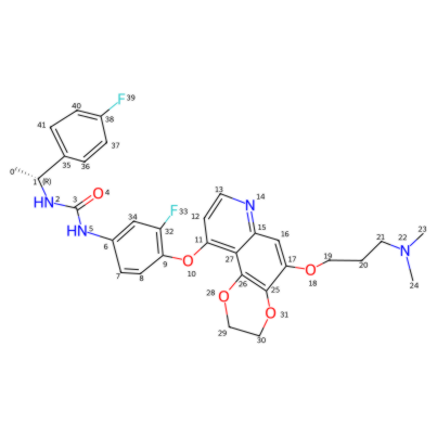 C[C@@H](NC(=O)Nc1ccc(Oc2ccnc3cc(OCCCN(C)C)c4c(c23)OCCO4)c(F)c1)c1ccc(F)cc1